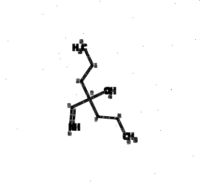 CCCC(O)(C=N)CCC